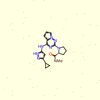 CNC(=O)[C@@H]1CCCN1c1nc(Nc2cc(C3CC3)n[nH]2)c2cccn2n1